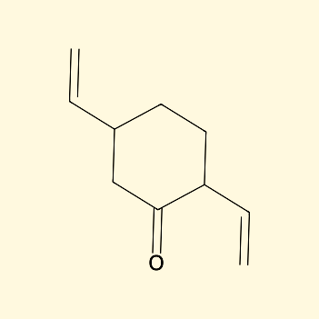 C=CC1CCC(C=C)C(=O)C1